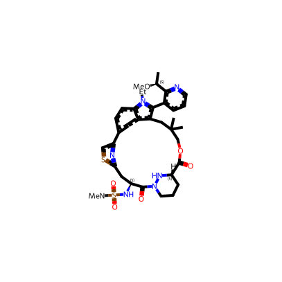 CCn1c(-c2cccnc2[C@H](C)OC)c2c3cc(ccc31)-c1csc(n1)C[C@H](NS(=O)(=O)NC)C(=O)N1CCC[C@H](N1)C(=O)OCC(C)(C)C2